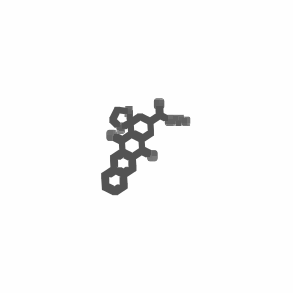 COC(=O)C1CC2=C(C(=O)c3cc4ccccc4cc3C2=O)C2(C1)SCCS2